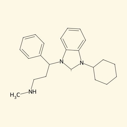 CNCCC(c1ccccc1)N1[CH]N(C2CCCCC2)c2ccccc21